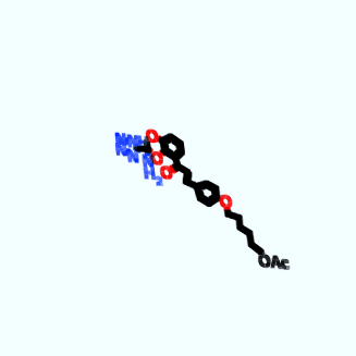 CC(=O)OCCCCCCOc1ccc(C=CC(=O)c2cccc3c2OC(N)(c2nnn[nH]2)CO3)cc1